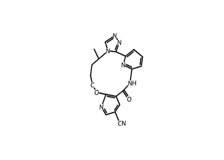 CC1CCCOc2ncc(C#N)cc2C(=O)Nc2cccc(n2)-c2nncn21